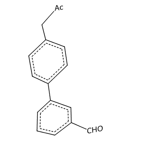 CC(=O)Cc1ccc(-c2cccc(C=O)c2)cc1